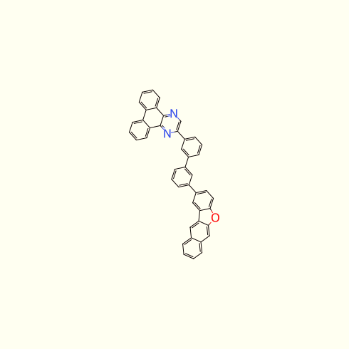 c1cc(-c2cccc(-c3cnc4c5ccccc5c5ccccc5c4n3)c2)cc(-c2ccc3oc4cc5ccccc5cc4c3c2)c1